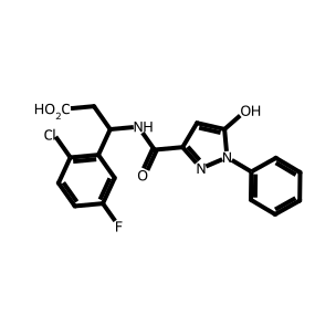 O=C(O)CC(NC(=O)c1cc(O)n(-c2ccccc2)n1)c1cc(F)ccc1Cl